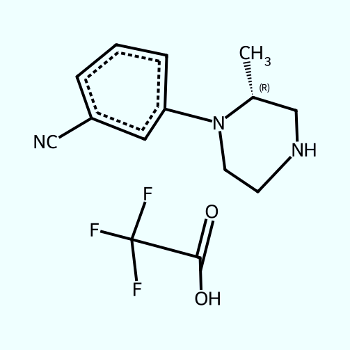 C[C@@H]1CNCCN1c1cccc(C#N)c1.O=C(O)C(F)(F)F